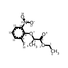 CCOC(=O)[C@@H](C)Oc1c(F)cccc1[N+](=O)[O-]